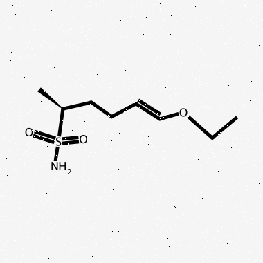 CCOC=CCC[C@H](C)S(N)(=O)=O